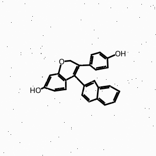 Oc1ccc(C2=C(c3ccc4ccccc4c3)c3ccc(O)cc3OC2)cc1